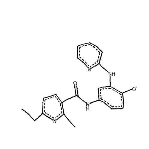 CCc1ccc(C(=O)Nc2ccc(Cl)c(Nc3ccccn3)c2)c(C)n1